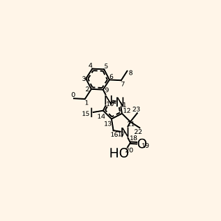 CCc1cccc(CC)c1-n1nc2c(c1I)CN(C(=O)O)C2(C)C